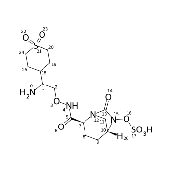 NC(CONC(=O)[C@@H]1CC[C@@H]2CN1C(=O)N2OS(=O)(=O)O)C1CCS(=O)(=O)CC1